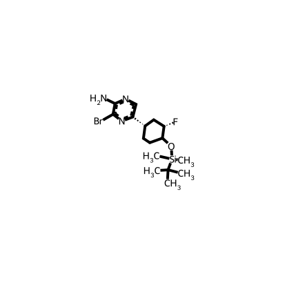 CC(C)(C)[Si](C)(C)OC1CC[C@H](c2cnc(N)c(Br)n2)C[C@@H]1F